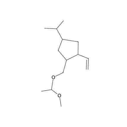 C=CC1CC(C(C)C)CC1COC(C)OC